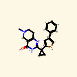 CN1CCc2nc(C3(c4cc(-c5ccccc5)cs4)CC3)[nH]c(=O)c2C1